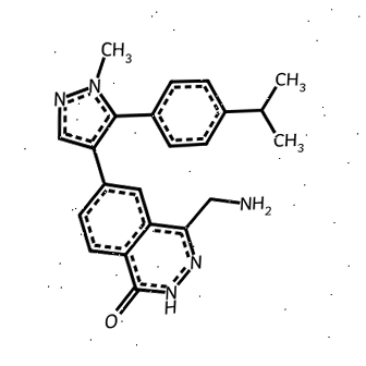 CC(C)c1ccc(-c2c(-c3ccc4c(=O)[nH]nc(CN)c4c3)cnn2C)cc1